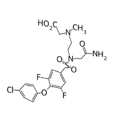 CN(CCN(CC(N)=O)S(=O)(=O)c1cc(F)c(Oc2ccc(Cl)cc2)c(F)c1)CC(=O)O